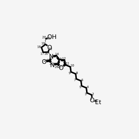 CCOCCCCCCCCCc1cc2cn([C@@H]3CC[C@H](CO)O3)c(=O)nc2o1